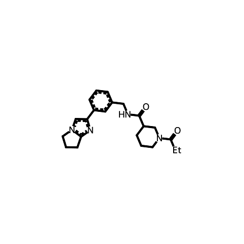 CCC(=O)N1CCCC(C(=O)NCc2cccc(-c3cn4c(n3)CCC4)c2)C1